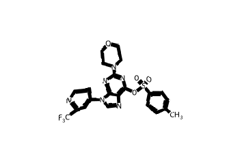 Cc1ccc(S(=O)(=O)Oc2nc(N3CCOCC3)nc3c2ncn3-c2ccnc(C(F)(F)F)c2)cc1